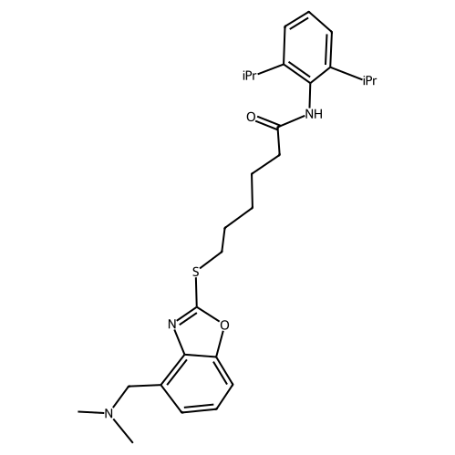 CC(C)c1cccc(C(C)C)c1NC(=O)CCCCCSc1nc2c(CN(C)C)cccc2o1